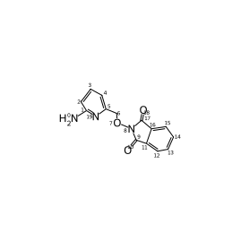 Nc1cccc(CON2C(=O)c3ccccc3C2=O)n1